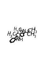 CC(C)c1nn(C)c2c(CC(C)c3n[nH]c4ccccc34)cccc12